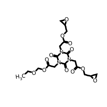 CCOCOC(=O)Cn1c(=O)n(CC(=O)OCC2CO2)c(=O)n(CC(=O)OCC2CO2)c1=O